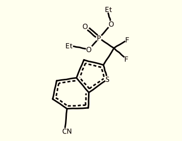 CCOP(=O)(OCC)C(F)(F)c1cc2ccc(C#N)cc2s1